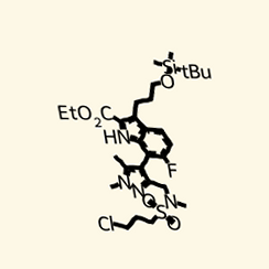 CCOC(=O)c1[nH]c2c(-c3c(CN(C)S(=O)(=O)CCCCl)nn(C)c3C)c(F)ccc2c1CCCO[Si](C)(C)C(C)(C)C